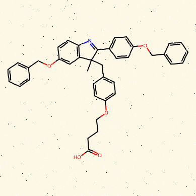 CC1(Cc2ccc(OCCCC(=O)O)cc2)C(c2ccc(OCc3ccccc3)cc2)=Nc2ccc(OCc3ccccc3)cc21